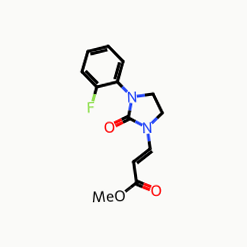 COC(=O)C=CN1CCN(c2ccccc2F)C1=O